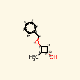 CC1C(OCc2ccccc2)C[C@@H]1O